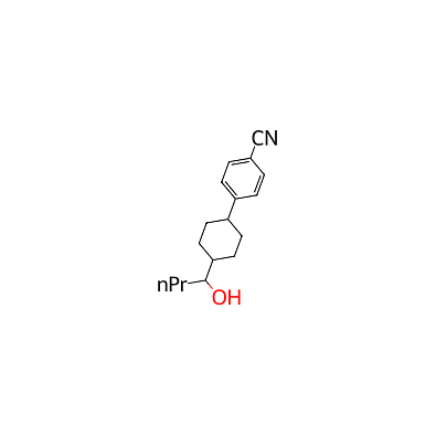 CCCC(O)C1CCC(c2ccc(C#N)cc2)CC1